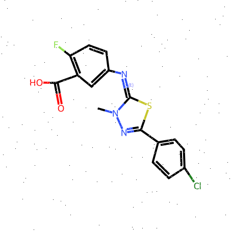 Cn1nc(-c2ccc(Cl)cc2)s/c1=N/c1ccc(F)c(C(=O)O)c1